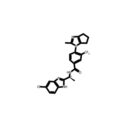 Cc1nc2c(n1-c1ccc(C(=O)N[C@@H](C)c3nc4cc(Cl)ccc4[nH]3)cc1C(F)(F)F)CCC2